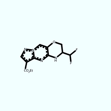 CCOC(=O)c1cnn2cc3c(nc12)NC(C(F)F)CO3